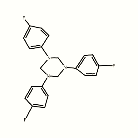 Fc1ccc(N2CN(c3ccc(F)cc3)CN(c3ccc(F)cc3)C2)cc1